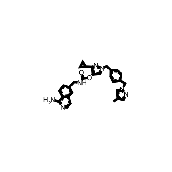 Cc1cnn(Cc2ccc(Cn3cc(OC(=O)NCc4ccc5c(N)nccc5c4)c(C4CC4)n3)cc2)c1